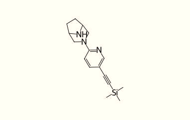 C[Si](C)(C)C#Cc1ccc(N2CC3CCC(C2)N3)nc1